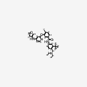 CCN(CC)Cc1ccc(NC(=O)c2ccc(C)c(Oc3cc(Nc4cnoc4)ncn3)c2)cc1C(F)(F)F